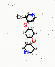 CCc1cnccc1O[C@H]1CC[C@H](OC2CCNCC2)CC1